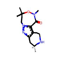 C[C@@H]1Cc2nn3c(c2CN1)C(=O)N(C)OC(C)(C)C3